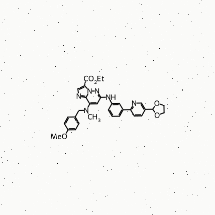 CCOC(=O)c1cnc2c(N(C)Cc3ccc(OC)cc3)cc(Nc3cccc(-c4ccc(C5OCCO5)cn4)c3)nn12